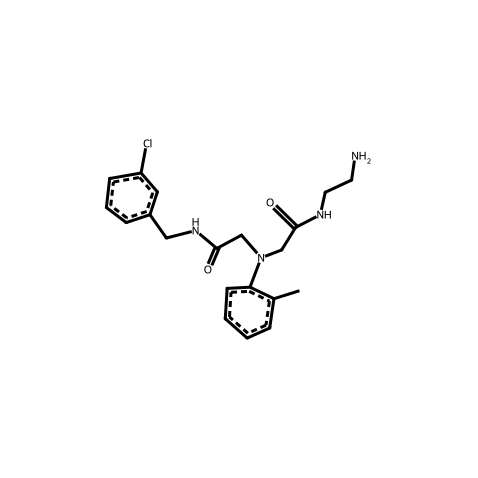 Cc1ccccc1N(CC(=O)NCCN)CC(=O)NCc1cccc(Cl)c1